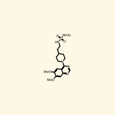 COc1cc2ncnc(N3CCC(CCNS(=O)(=O)NC(C)=O)CC3)c2cc1OC